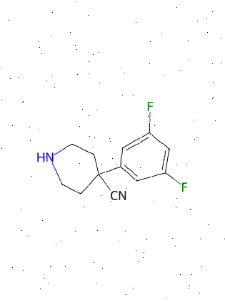 N#CC1(c2cc(F)cc(F)c2)CCNCC1